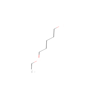 CC(C)COCCCCCO